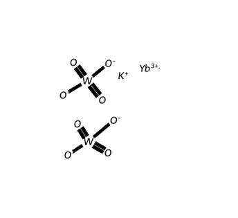 [K+].[O]=[W](=[O])([O-])[O-].[O]=[W](=[O])([O-])[O-].[Yb+3]